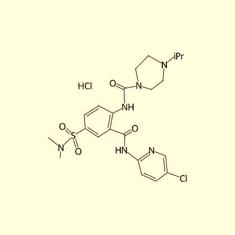 CC(C)N1CCN(C(=O)Nc2ccc(S(=O)(=O)N(C)C)cc2C(=O)Nc2ccc(Cl)cn2)CC1.Cl